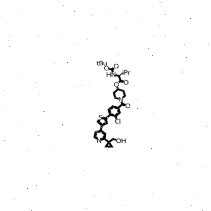 CC(C)[C@H](NC(=O)OC(C)(C)C)C(=O)OC1CCN(C(=O)c2ccc(-c3cc(-c4ccnc(C5(CO)CC5)c4)cs3)c(Cl)c2)CC1